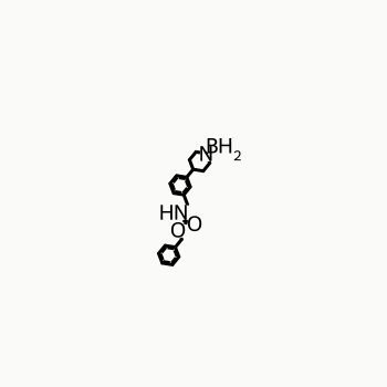 BN1CCC(c2cccc(CNC(=O)OCc3ccccc3)c2)CC1